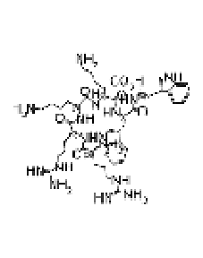 N=C(N)NCCC[C@H](NC(=O)[C@@H](N)CCCNC(=N)N)C(=O)N[C@@H](CCCCN)C(=O)N[C@@H](CCCCN)C(=O)N[C@@H](Cc1c[nH]c2ccccc12)C(=O)N[C@@H](Cc1c[nH]c2ccccc12)C(=O)O